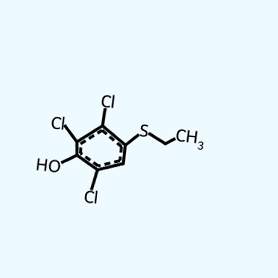 CCSc1cc(Cl)c(O)c(Cl)c1Cl